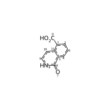 O=C(O)c1cccc2c(=O)[nH]ccc12